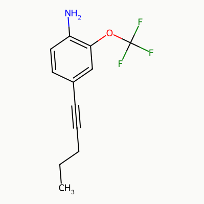 CCCC#Cc1ccc(N)c(OC(F)(F)F)c1